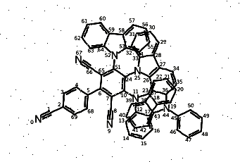 N#Cc1ccc(-c2c(C#N)c(-n3c4ccccc4c4ccccc43)c(-n3c4c(c5ccccc53)C=CC3C4c4ccccc4N3c3ccccc3)c(-n3c4ccccc4c4ccccc43)c2C#N)cc1